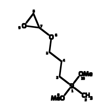 CO[Si](C)(CCCOC1CO1)OC